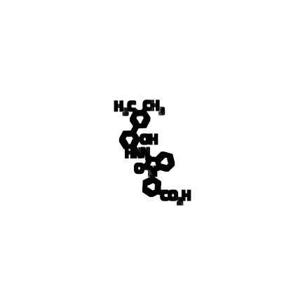 Cc1ccc(-c2cccc(NN=C3C(=O)N(c4cccc(C(=O)O)c4)c4ccccc43)c2O)cc1C